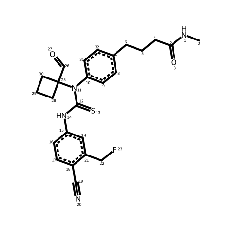 CNC(=O)CCCc1ccc(N(C(=S)Nc2ccc(C#N)c(CF)c2)C2(C=O)CCC2)cc1